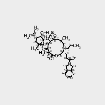 CCCN1C[C@H](C)C[C@@](C)(OC)[C@H](O[C@@H]2O[C@H](C)C[C@H](N(C)C)[C@H]2O)[C@@H](C)C(=O)C(C)(C)C(=O)OC[C@H]1CCC(=O)N1Cc2cncnc2C1